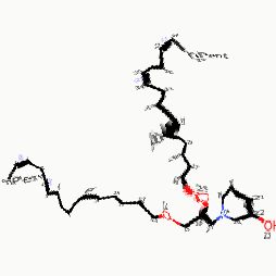 CCCCC/C=C\C/C=C\CCCCCCCCOCC(CN1CCCC(O)C1)OCCCCCCCC/C=C\C/C=C\CCCCC